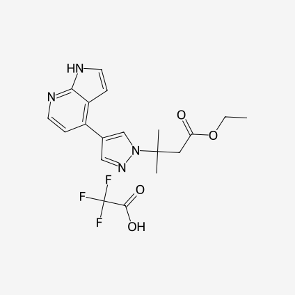 CCOC(=O)CC(C)(C)n1cc(-c2ccnc3[nH]ccc23)cn1.O=C(O)C(F)(F)F